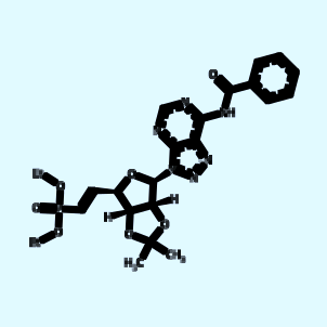 CCOP(=O)(/C=C/[C@H]1O[C@@H](n2nnc3c(NC(=O)c4ccccc4)ncnc32)[C@@H]2OC(C)(C)O[C@@H]21)OCC